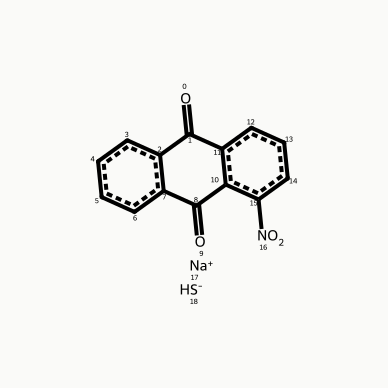 O=C1c2ccccc2C(=O)c2c1cccc2[N+](=O)[O-].[Na+].[SH-]